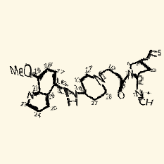 C#[N+]C1C[C@H](F)CN1C(=O)CN1CCC(Nc2ccc(OC)c3ncccc23)CC1